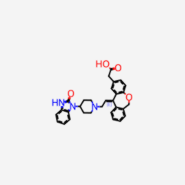 O=C(O)Cc1ccc2c(c1)/C(=C/CN1CCC(n3c(=O)[nH]c4ccccc43)CC1)c1ccccc1CO2